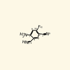 N#Cc1cc(C=N)c(N)cc1F